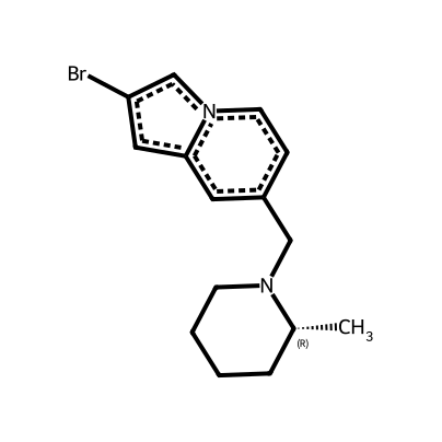 C[C@@H]1CCCCN1Cc1ccn2cc(Br)cc2c1